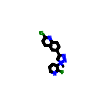 C[N+]1(c2cccnc2F)C=C(c2ccc3nc(Cl)ccc3c2)N=N1